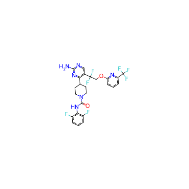 Nc1ncc(C(F)(F)COc2cccc(C(F)(F)F)n2)c(C2CCN(C(=O)Nc3c(F)cccc3F)CC2)n1